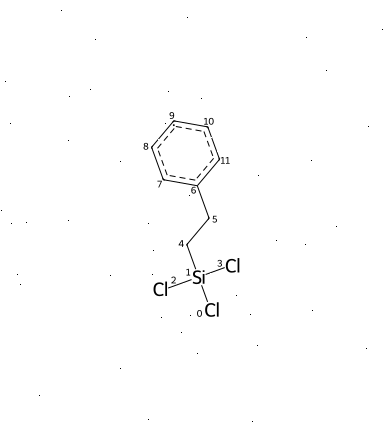 Cl[Si](Cl)(Cl)CCc1cc[c]cc1